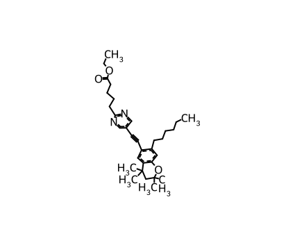 CCCCCCc1cc2c(cc1C#Cc1cnc(CCCCC(=O)OCC)nc1)C(C)(C)CC(C)(C)O2